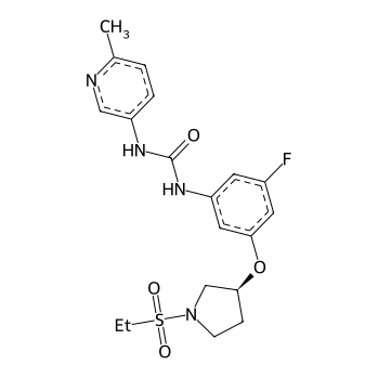 CCS(=O)(=O)N1CC[C@H](Oc2cc(F)cc(NC(=O)Nc3ccc(C)nc3)c2)C1